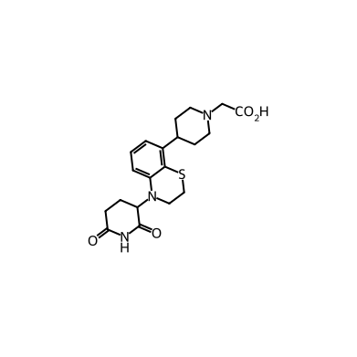 O=C(O)CN1CCC(c2cccc3c2SCCN3C2CCC(=O)NC2=O)CC1